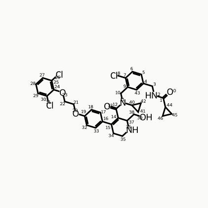 O=C(NCc1ccc(Cl)c(CN(C(=O)C2=C(c3ccc(OCCOc4c(Cl)cccc4Cl)cc3)CCNC2CO)C2CC2)c1)C1CC1